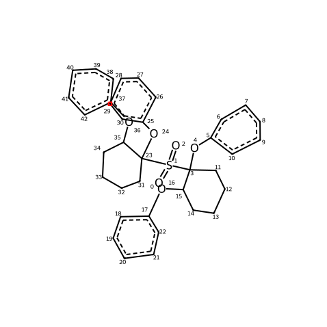 O=S(=O)(C1(Oc2ccccc2)CCCCC1Oc1ccccc1)C1(Oc2ccccc2)CCCCC1Oc1ccccc1